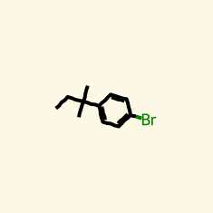 CCC(C)(C)c1ccc(Br)cc1